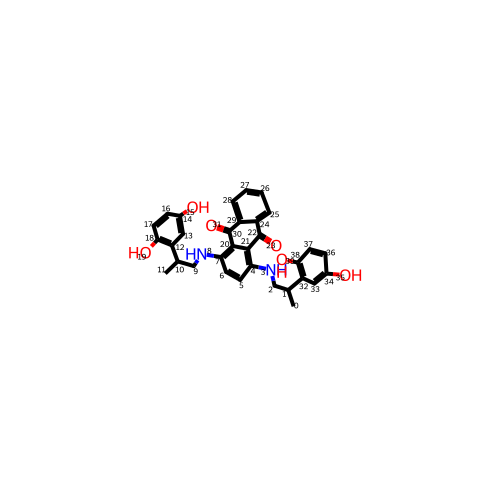 CC(CNc1ccc(NCC(C)c2cc(O)ccc2O)c2c1C(=O)c1ccccc1C2=O)c1cc(O)ccc1O